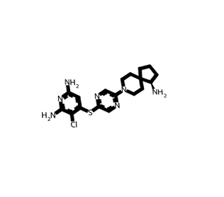 Nc1cc(Sc2cnc(N3CCC4(CCC[C@H]4N)CC3)cn2)c(Cl)c(N)n1